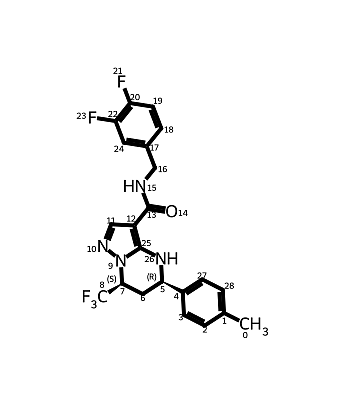 Cc1ccc([C@H]2C[C@@H](C(F)(F)F)n3ncc(C(=O)NCc4ccc(F)c(F)c4)c3N2)cc1